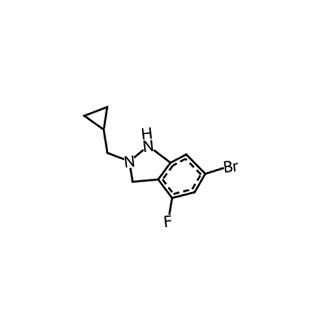 Fc1cc(Br)cc2c1CN(CC1CC1)N2